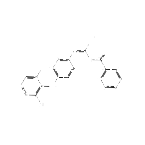 Nc1cccc(Br)c1Oc1ccc(/C=C(\NC(=O)c2ccccc2)C(=O)O)cc1